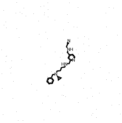 N#CCNCc1ccnc(CNCCCCN(Cc2ccccc2)C2CC2)c1